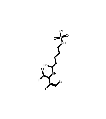 CC/C=C(/F)C(NC(O)CCCCNS(=O)(=O)C(C)C)C(C)F